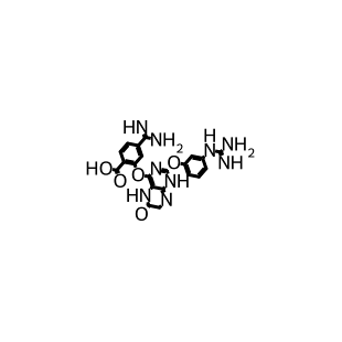 N=C(N)Nc1cccc(OC2=NC(Oc3cc(C(=N)N)ccc3C(=O)O)=C3NC(=O)CN=C3N2)c1